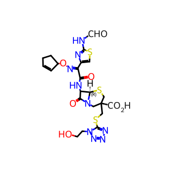 O=CNc1nc(C(=NOC2C=CCC2)C(=O)NC2C(=O)N3CC(CSc4nnnn4CCO)(C(=O)O)CS[C@H]23)cs1